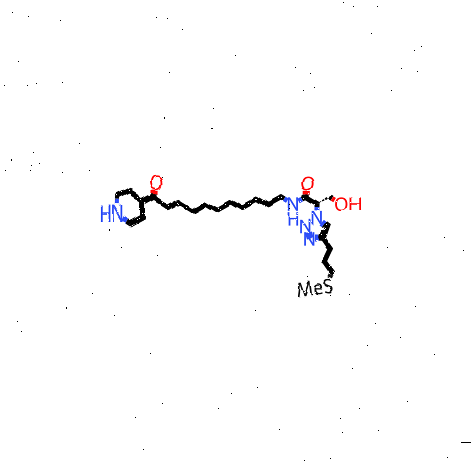 CSCCCc1cn([C@@H](CO)C(=O)NCCCCCCCCCCC(=O)C2CCNCC2)nn1